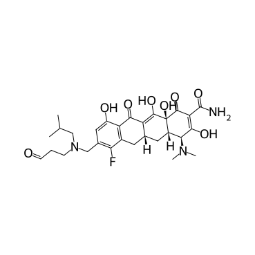 CC(C)CN(CCC=O)Cc1cc(O)c2c(c1F)C[C@H]1C[C@H]3[C@H](N(C)C)C(O)=C(C(N)=O)C(=O)[C@@]3(O)C(O)=C1C2=O